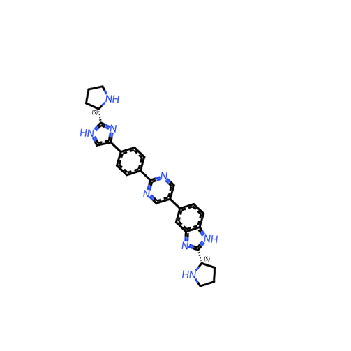 c1cc2[nH]c([C@@H]3CCCN3)nc2cc1-c1cnc(-c2ccc(-c3c[nH]c([C@@H]4CCCN4)n3)cc2)nc1